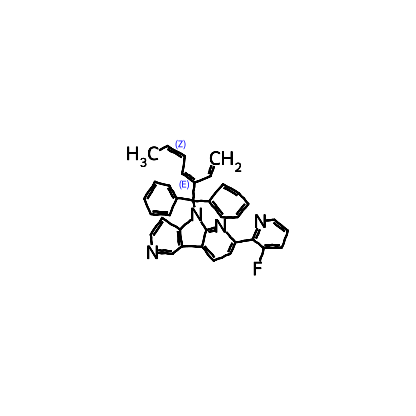 C=C/C(=C\C=C/C)C(c1ccccc1)(c1ccccc1)n1c2ccncc2c2ccc(-c3ncccc3F)nc21